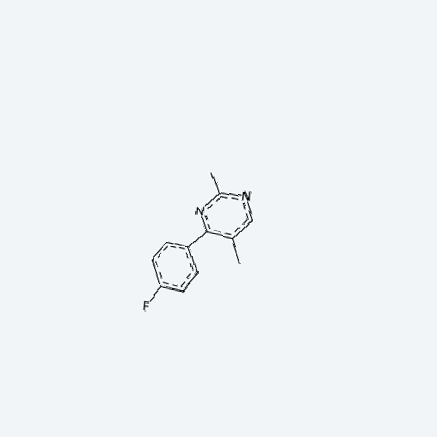 Cc1ncc(C)c(-c2ccc(F)cc2)n1